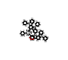 c1ccc(-c2nc(-c3ccccc3)nc(-c3cc4c(c5ccccc5n4-c4ccccc4)c4c3c3cc(-n5c6ccccc6c6ccc7c(c8ccccc8n7-c7ccccc7)c65)ccc3n4-c3ccccc3)n2)cc1